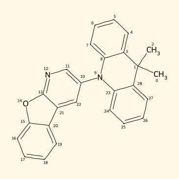 CC1(C)c2ccccc2N(c2cnc3oc4ccccc4c3c2)c2ccccc21